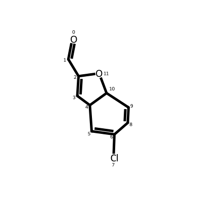 O=CC1=CC2C=C(Cl)C=CC2O1